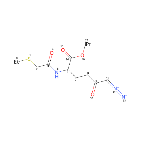 CCSCC(=O)N[C@@H](CCC(=O)C=[N+]=[N-])C(=O)OC(C)C